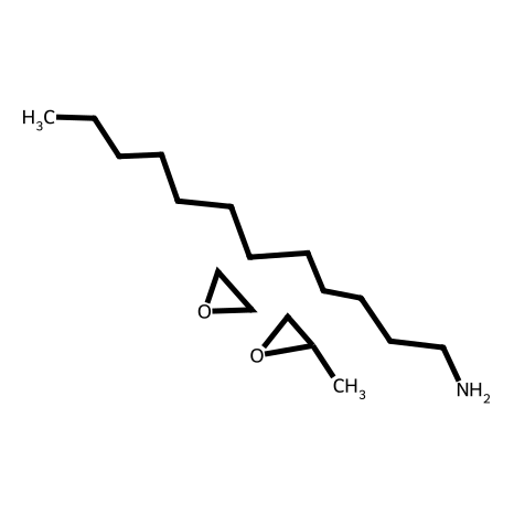 C1CO1.CC1CO1.CCCCCCCCCCCCN